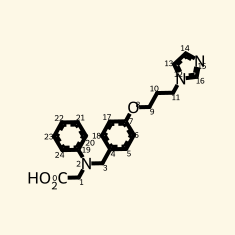 O=C(O)CN(Cc1ccc(OCCCn2ccnc2)cc1)c1ccccc1